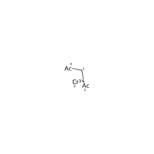 CC(=O)CC(C)=O.[Cr+3]